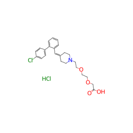 Cl.O=C(O)COCCOCCN1CCC(=Cc2ccccc2-c2ccc(Cl)cc2)CC1